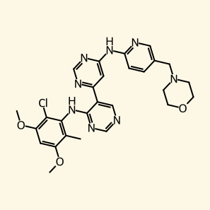 COc1cc(OC)c(Cl)c(Nc2ncncc2-c2cc(Nc3ccc(CN4CCOCC4)cn3)ncn2)c1C